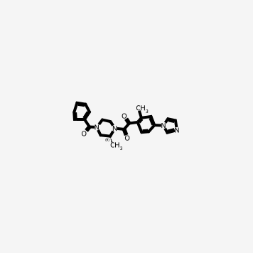 Cc1cc(-n2ccnc2)ccc1C(=O)C(=O)N1CCN(C(=O)c2ccccc2)C[C@H]1C